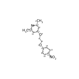 Cc1cc(OCCOc2ccc([N+](=O)[O-])cc2)cc(C)n1